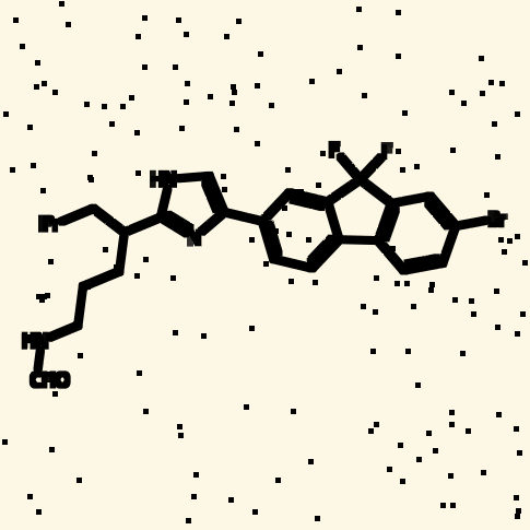 CC(C)CC(CCCNC=O)c1nc(-c2ccc3c(c2)C(F)(F)c2cc(Br)ccc2-3)c[nH]1